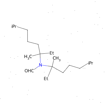 CCC(C)(CCCC(C)C)N(C=O)C(C)(CC)CCCC(C)C